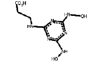 O=C(O)CCNc1nc(NO)nc(NO)n1